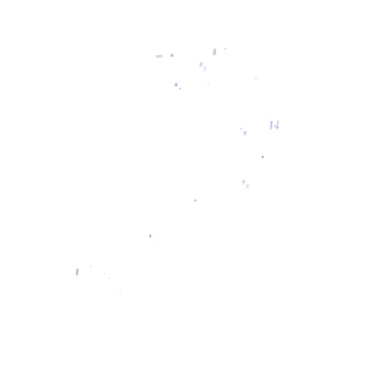 Cc1nc2c(F)cc(-c3nc(Nc4ccc(N5CCC(N6CCC(N(C)C)CC6)CC5)cn4)ncc3F)cc2n1C(C)C